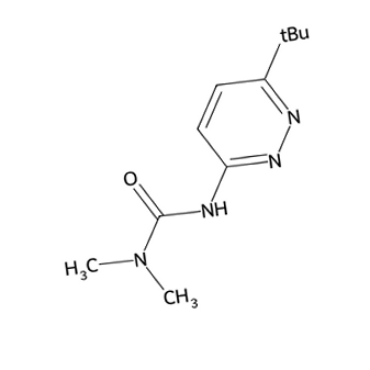 CN(C)C(=O)Nc1ccc(C(C)(C)C)nn1